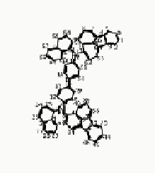 c1ccc2c(c1)-c1cccc3c(N(c4ccc(-c5ccc(N(c6cccc7ccccc67)c6ccc7c8c(cccc68)-c6ccccc6-7)cc5)cc4)c4cccc5ccccc45)ccc-2c13